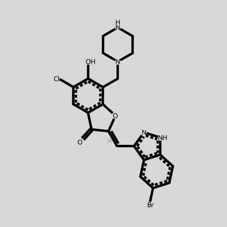 O=C1/C(=C/c2n[nH]c3ccc(Br)cc23)Oc2c1cc(Cl)c(O)c2CN1CCNCC1